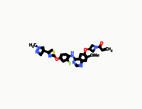 C=CC(=O)N1CC(Oc2cc3c(Nc4ccc(Oc5nc(-c6cnn(C)c6)cs5)cc4F)ncnc3cc2OC)C1